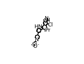 Cc1c(-c2[nH]c3ccc(C4CCN(CC[S+](C)[O-])CC4)cc3c2C(C)C)cn2cnnc2c1Cl